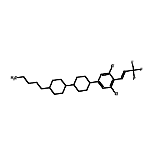 CCCCCC1CCC(C2CCC(c3cc(Cl)c(/C=C/C(F)(F)F)c(Cl)c3)CC2)CC1